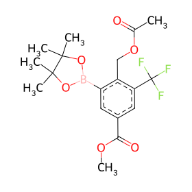 COC(=O)c1cc(B2OC(C)(C)C(C)(C)O2)c(COC(C)=O)c(C(F)(F)F)c1